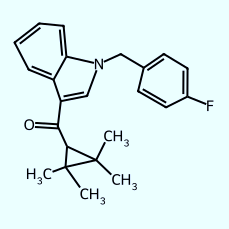 CC1(C)C(C(=O)c2cn(Cc3ccc(F)cc3)c3ccccc23)C1(C)C